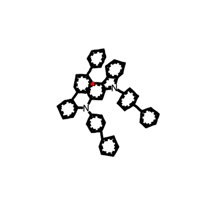 c1ccc(-c2ccc(-c3ccccc3N(c3ccc(-c4ccccc4)cc3)c3ccc4c5ccccc5n(-c5ccc(-c6ccccc6)cc5)c4c3)cc2)cc1